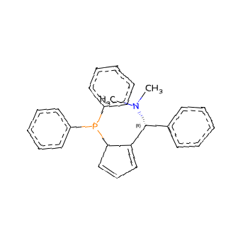 CN(C)[C@@H](C1=CC=CC1P(c1ccccc1)c1ccccc1)c1ccccc1